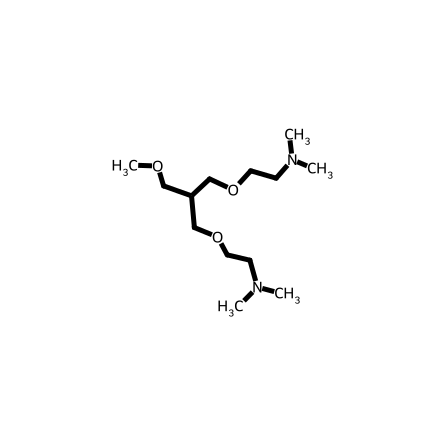 COCC(COCCN(C)C)COCCN(C)C